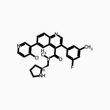 Cc1cc(F)cc(-c2cnc3ccc(-c4cnccc4Cl)cc3c2C(=O)N(C)C[C@@H]2CCCN2)c1